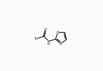 CCC(=O)Nc1ncco1